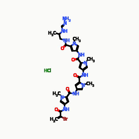 C=C(Br)C(=O)Nc1cc(C(=O)Nc2cc(C(=O)Nc3cc(C(=O)Nc4cc(C(=O)NCC(C)NC=NN)n(C)c4)n(C)c3)n(C)c2)n(C)c1.Cl